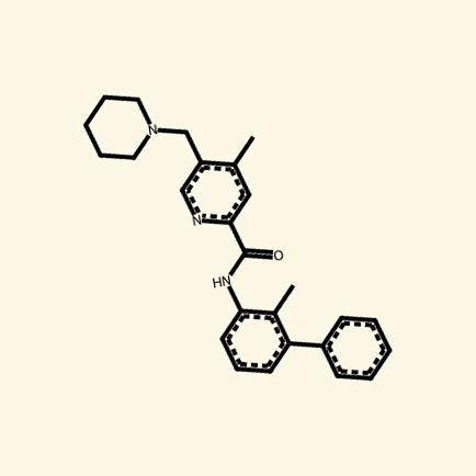 Cc1cc(C(=O)Nc2cccc(-c3ccccc3)c2C)ncc1CN1CCCCC1